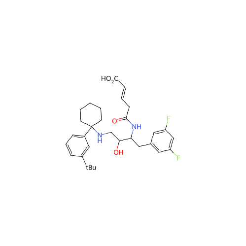 CC(C)(C)c1cccc(C2(NCC(O)C(Cc3cc(F)cc(F)c3)NC(=O)CC=CC(=O)O)CCCCC2)c1